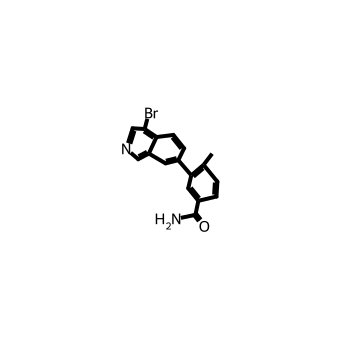 Cc1ccc(C(N)=O)cc1-c1ccc2c(Br)cncc2c1